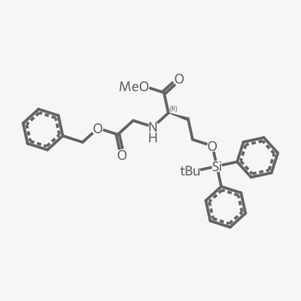 COC(=O)[C@@H](CCO[Si](c1ccccc1)(c1ccccc1)C(C)(C)C)NCC(=O)OCc1ccccc1